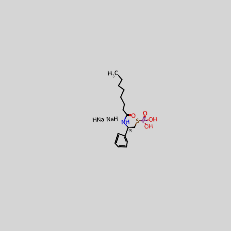 CCCCCCCC(=O)N[C@@H](CSP(=O)(O)O)c1ccccc1.[NaH].[NaH]